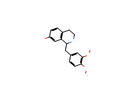 COc1ccc(CC2NCCc3ccc(O)cc32)cc1OC